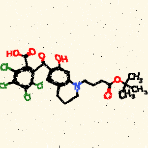 CC(C)(C)OC(=O)CCCN1CCCc2cc(C(=O)c3c(Cl)c(Cl)c(Cl)c(Cl)c3C(=O)O)c(O)cc21